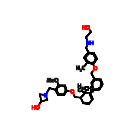 COc1cc(OCC2C=CC=C(c3cccc(COc4ccc(CNCCO)cc4C)c3)C2(C)C)ccc1CN1CC(O)C1